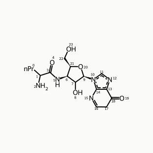 CCCC(N)C(=O)N[C@@H]1C(O)[C@H](n2cnc3c2N=CCC3=O)O[C@@H]1CO